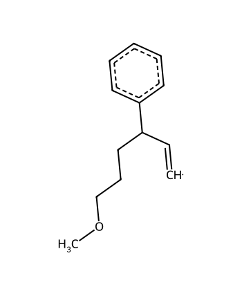 [CH]=CC(CCCOC)c1ccccc1